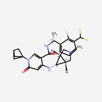 C[C@@H](NC(=O)c1cn(C23CC(C2)C3)c(=O)cc1N[C@@H]1[C@@H]2CN(C)C[C@@H]21)c1cccc(C(F)F)c1F